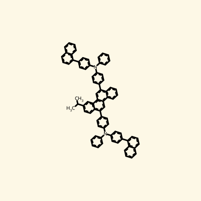 CC(C)c1ccc2c(-c3ccc(N(c4ccccc4)c4ccc(-c5cccc6ccccc56)cc4)cc3)cc3c4ccccc4c(-c4ccc(N(c5ccccc5)c5ccc(-c6cccc7ccccc67)cc5)cc4)cc3c2c1